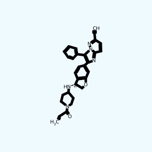 C#Cc1ccc2nc(-c3ccc4c(c3)OC[C@@H]4NC3CCN(C(=O)C=C)CC3)c(-c3ccccc3)n2n1